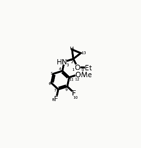 CCOC1(Nc2ccc(F)c(F)c2OC)CC1